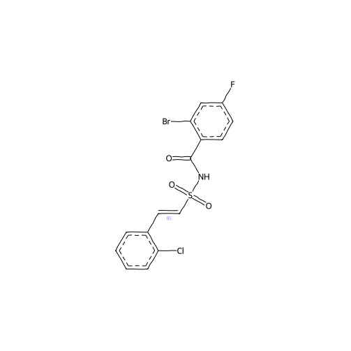 O=C(NS(=O)(=O)/C=C/c1ccccc1Cl)c1ccc(F)cc1Br